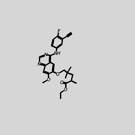 C#Cc1cc(Nc2ncnc3cc(OC)c(OCC(C)(C)CC(C)C(=O)OCC)cc23)ccc1F